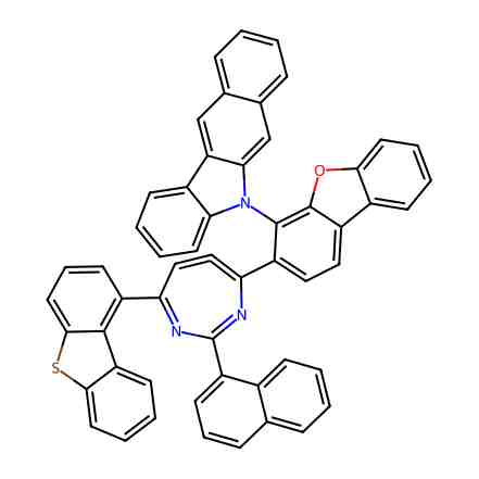 C1=CC(c2cccc3sc4ccccc4c23)=NC(c2cccc3ccccc23)=NC=1c1ccc2c(oc3ccccc32)c1-n1c2ccccc2c2cc3ccccc3cc21